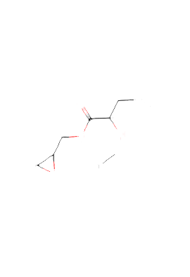 CCCC.O=C(O)CC(O)C(=O)OCC1CO1